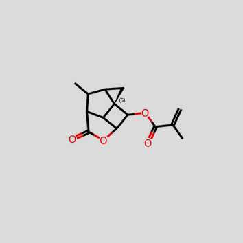 C=C(C)C(=O)OC1C2OC(=O)C3C(C)C4C[C@@]41C23